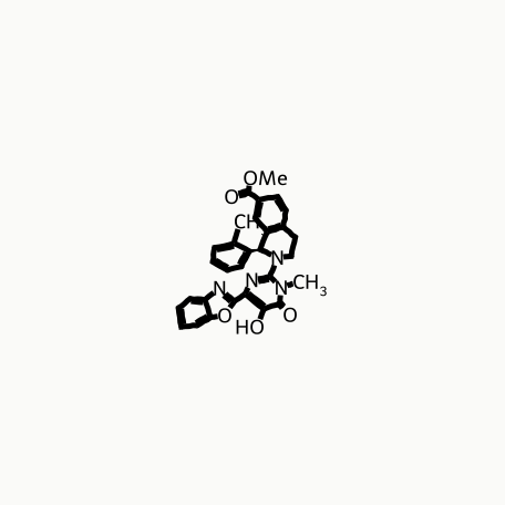 COC(=O)c1ccc2c(c1)[C@H](c1ccccc1C)N(c1nc(-c3nc4ccccc4o3)c(O)c(=O)n1C)CC2